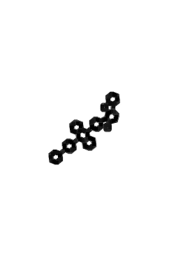 c1ccc(-c2ccc(-c3c4ccccc4c(-c4ccc5c(c4)oc4ccc6c7ccccc7oc6c45)c4ccccc34)cc2)cc1